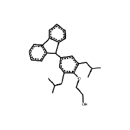 CC(C)Cc1cc(C2c3ccccc3-c3ccccc32)cc(CC(C)C)c1OCCO